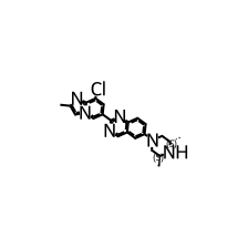 Cc1cn2cc(-c3ncc4cc(N5C[C@H](C)N[C@@H](C)C5)ccc4n3)cc(Cl)c2n1